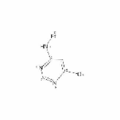 [CH2]CNc1cc(Cl)ncn1